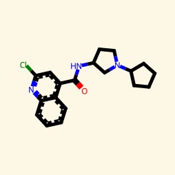 O=C(NC1CCN(C2CCCC2)C1)c1cc(Cl)nc2ccccc12